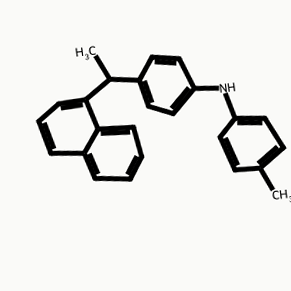 Cc1ccc(Nc2ccc(C(C)c3cccc4ccccc34)cc2)cc1